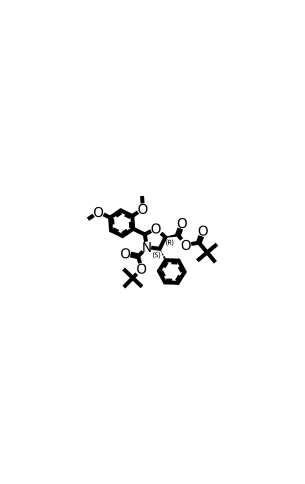 COc1ccc(C2O[C@@H](C(=O)OC(=O)C(C)(C)C)[C@H](c3ccccc3)N2C(=O)OC(C)(C)C)c(OC)c1